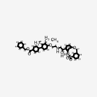 C.Cc1c(OCCNCC(O)c2ccc3cc2NS(=O)(=O)c2cccc(c2)CO3)ccc(-c2ccc(C(=O)OCc3ccccc3)cc2)c1C